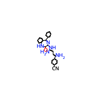 N#Cc1ccc(/C(N)=C/C=C(\N)NC2N=C(c3ccccc3)c3ccccc3NC2=O)cc1